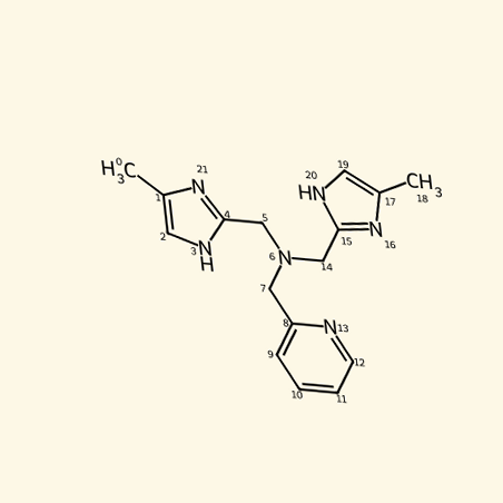 Cc1c[nH]c(CN(Cc2ccccn2)Cc2nc(C)c[nH]2)n1